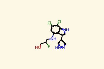 OCC(F)CNc1cc(Cl)c(Cl)c2[nH]cc(-c3cn[nH]c3)c12